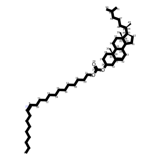 CCCCCCCC/C=C\CCCCCCCCCCCCOC(=O)OC1CC[C@@]2(C)C(=CCC3C2CC[C@@]2(C)C3CC[C@@H]2[C@H](C)CCCC(C)C)C1